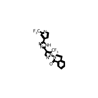 O=c1c2ccccc2ccn1-n1ncc(-c2nnc(-c3ccnc(C(F)(F)F)c3)[nH]2)c1C(F)(F)F